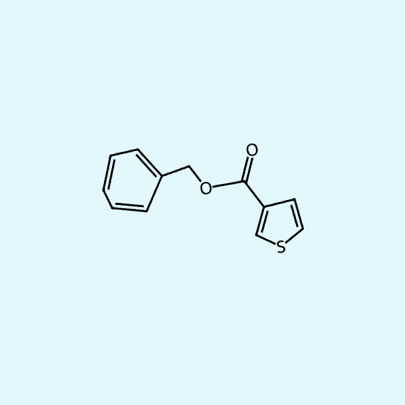 O=C(OCc1ccccc1)c1ccsc1